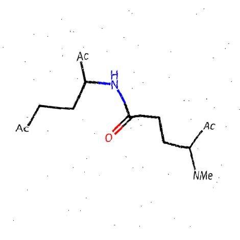 CNC(CCC(=O)NC(CCC(C)=O)C(C)=O)C(C)=O